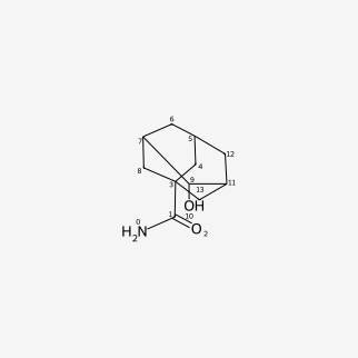 NC(=O)C12CC3CC(C1)C(O)C(C3)C2